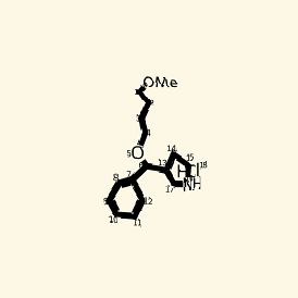 COCCCCOC(c1ccccc1)C1CCNC1.Cl